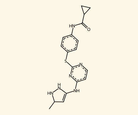 CC1C=C(Nc2ccnc(Sc3ccc(NC(=O)C4CC4)cc3)n2)NN1